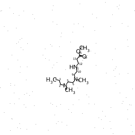 CCCN(C)CCN(C)CCNCCC(=O)OC